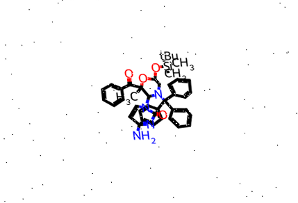 CC1(C(=O)c2ccccc2)OC(O[Si](C)(C)C(C)(C)C)CN(C(c2ccccc2)(c2ccccc2)c2ccccc2)C1n1ccc(N)nc1=O